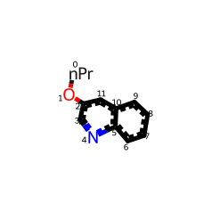 CCCOc1[c]nc2ccccc2c1